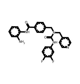 Nc1ccccc1NC(=O)c1ccc(CN(Cc2ccncc2)C(=O)Nc2ccc(F)c(F)c2)cc1